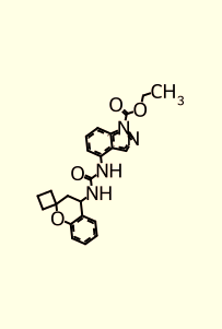 CCOC(=O)n1ncc2c(NC(=O)NC3CC4(CCC4)Oc4ccccc43)cccc21